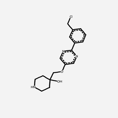 OC1(COc2cnc(-c3cccc(CCl)c3)nc2)CCNCC1